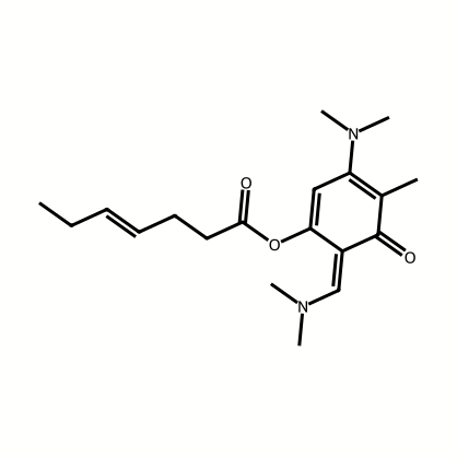 CCC=CCCC(=O)OC1=CC(N(C)C)=C(C)C(=O)C1=CN(C)C